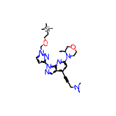 CC1COCCN1c1cc(C#CCN(C)C)c2cnn(-c3ccn(COCC[Si](C)(C)C)n3)c2n1